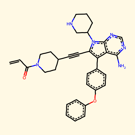 C=CC(=O)N1CCC(C#Cc2c(-c3ccc(Oc4ccccc4)cc3)c3c(N)ncnc3n2C2CCCNC2)CC1